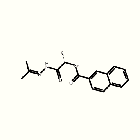 CC(C)=NNC(=O)[C@H](C)NC(=O)c1ccc2ccccc2c1